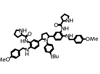 COc1ccc(CNc2ccc(C3CCC(c4ccc(NCc5ccc(OC)cc5)c(NC(=O)C5CCCN5)c4)N3c3ccc(C(C)(C)C)cc3)cc2NC(=O)C2CCCN2)cc1